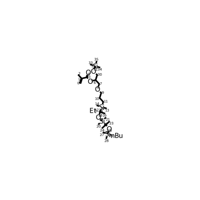 C=C(C)C(=O)OC(COCCC[Si](C)(C)[C@](C)(CC)O[Si](C)(C)C(C)(C)O[Si](C)(C)CCCC)CO[Si](C)(C)C